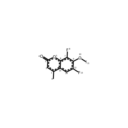 Cc1cc(=O)oc2c(F)c(OI)c(F)cc12